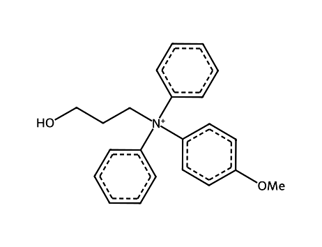 COc1ccc([N+](CCCO)(c2ccccc2)c2ccccc2)cc1